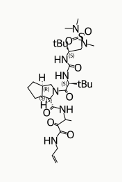 C=CCNC(=O)C(=O)C(C)NC(=O)[C@@H]1[C@H]2CCC[C@H]2CN1C(=O)[C@@H](NC(=O)N[C@H](CN(C)S(=O)(=O)N(C)C)C(C)(C)C)C(C)(C)C